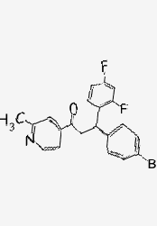 Cc1cc(C(=O)CC(c2ccc(Br)cc2)c2ccc(F)cc2F)ccn1